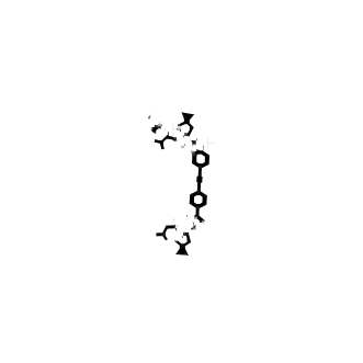 COC(=O)N[C@H](C(=O)N1CC2(CC2)C[C@H]1c1nc2cc(C#Cc3ccc(-c4coc([C@@H]5CC6(CC6)CN5C(=O)[C@@H](C)C(C)C)n4)cc3)ccc2[nH]1)C(C)C